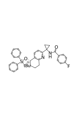 CC(C)(C)[Si](O[C@H]1CCCc2nc(C3(NC(=O)c4ccc(F)cc4)CC3)ccc21)(c1ccccc1)c1ccccc1